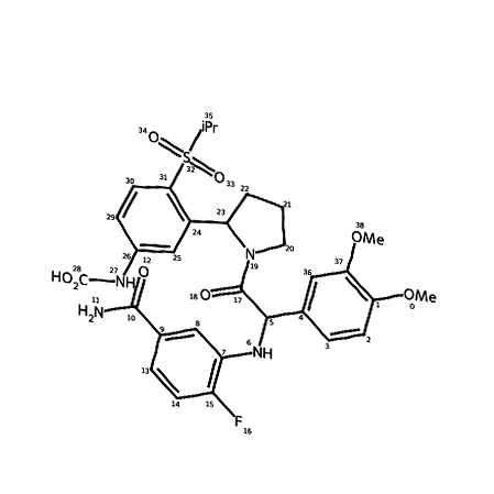 COc1ccc(C(Nc2cc(C(N)=O)ccc2F)C(=O)N2CCCC2c2cc(NC(=O)O)ccc2S(=O)(=O)C(C)C)cc1OC